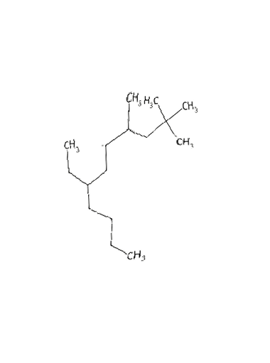 CCCCC(CC)C[CH]C(C)CC(C)(C)C